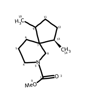 COC(=O)N1CCCC2(C1)C(C)CC[C@H]2C